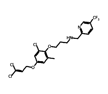 Cc1cc(OCC=C(Cl)Cl)cc(Cl)c1OCCCNCc1ccc(C(F)(F)F)cn1